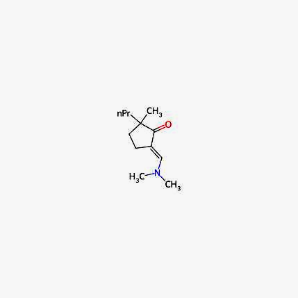 CCCC1(C)CC/C(=C\N(C)C)C1=O